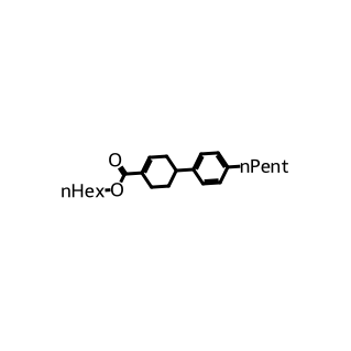 CCCCCCOC(=O)C1=CCC(c2ccc(CCCCC)cc2)CC1